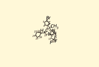 CC(C)(c1ccc(Br)s1)c1nnc(CC(F)(F)F)n1CCc1ccccc1